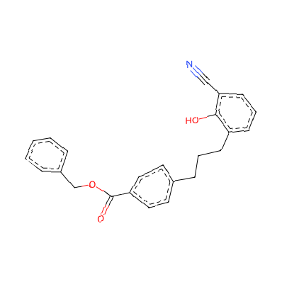 N#Cc1cccc(CCCc2ccc(C(=O)OCc3ccccc3)cc2)c1O